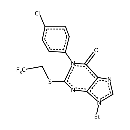 CCn1cnc2c(=O)n(-c3ccc(Cl)cc3)c(SCC(F)(F)F)nc21